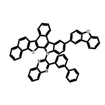 c1ccc(-c2cccc(-c3nc4ccccc4nc3-n3c4ccc(-c5ccc6oc7ccccc7c6c5)cc4c4c5ccccc5c5c6ccc7ccccc7c6sc5c43)c2)cc1